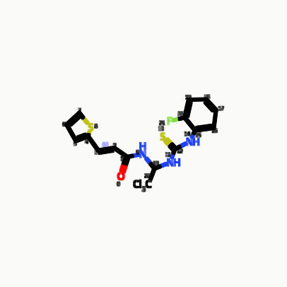 O=C(/C=C/c1cccs1)NC(NC(=S)Nc1ccccc1F)C(Cl)(Cl)Cl